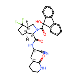 N#C[C@@H](C[C@H]1CCCNC1=O)NC(=O)[C@H]1[C@H]2CCC(F)(F)[C@H]2CN1C(=O)C1(O)c2ccccc2-c2ccccc21